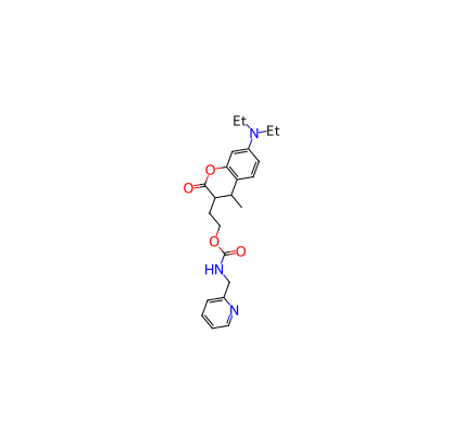 CCN(CC)c1ccc2c(c1)OC(=O)C(CCOC(=O)NCc1ccccn1)C2C